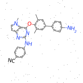 Cc1cc(-c2ccc(N)cc2)cc(C)c1Oc1nc(Nc2ccc(C#N)cc2)nc2ccn(C)c12